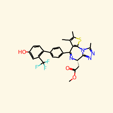 COC(=O)C[C@@H]1N=C(c2ccc(-c3ccc(O)cc3C(F)(F)F)cc2)c2c(sc(C)c2C)-n2c(C)nnc21